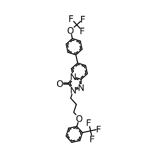 O=c1n(CCCOc2ccccc2C(F)(F)F)nc2ccc(-c3ccc(OC(F)(F)F)cc3)cn12